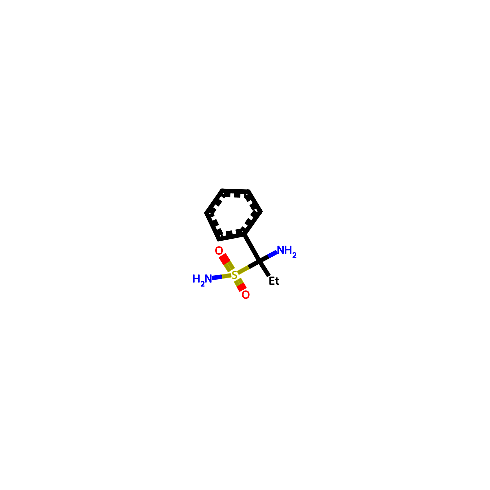 CCC(N)(c1ccccc1)S(N)(=O)=O